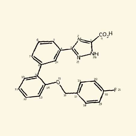 O=C(O)c1nc(-c2cccc(-c3ccccc3OCc3ccc(F)cc3)c2)n[nH]1